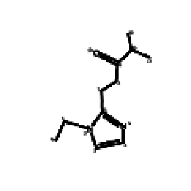 CCn1ccnc1CCC(=O)C(C)C